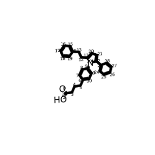 O=C(O)CCCc1ccc(-n2c(CCc3ccccc3)ccc2-c2ccccc2)cc1